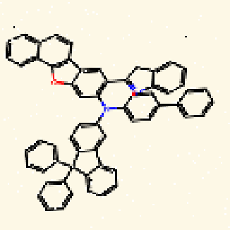 c1ccc(-c2ccc(N(c3ccc4c(c3)-c3ccccc3C4(c3ccccc3)c3ccccc3)c3cc4oc5c6ccccc6ccc5c4cc3C3=Nc4ccccc4C3)cc2)cc1